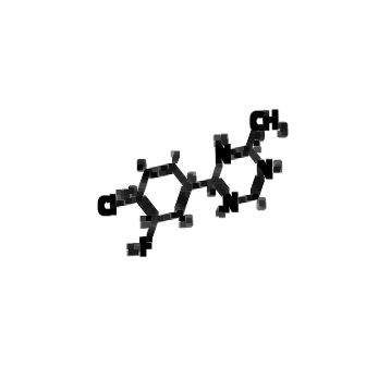 Cc1ncnc(-c2ccc(Cl)c(F)c2)n1